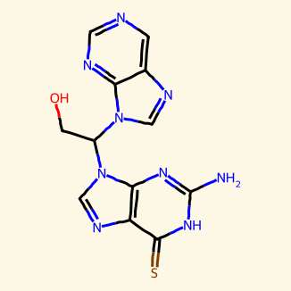 Nc1nc2c(ncn2C(CO)n2cnc3cncnc32)c(=S)[nH]1